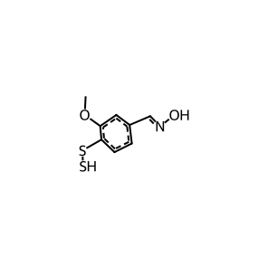 COc1cc(/C=N/O)ccc1SS